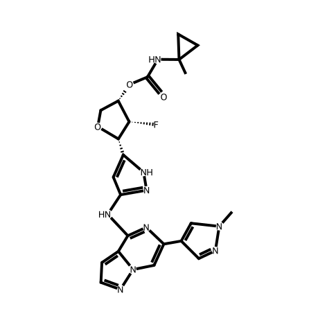 Cn1cc(-c2cn3nccc3c(Nc3cc([C@@H]4OC[C@H](OC(=O)NC5(C)CC5)[C@@H]4F)[nH]n3)n2)cn1